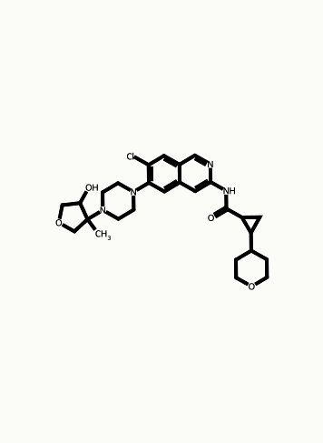 CC1(N2CCN(c3cc4cc(NC(=O)C5CC5C5CCOCC5)ncc4cc3Cl)CC2)COCC1O